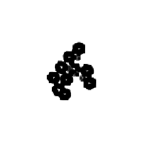 c1ccc(-c2cc(-c3c(-c4ccccc4)ccc4ccccc34)ccc2-c2nc(-c3cccc4c3oc3ccccc34)cc(-c3cccc4c3oc3ccccc34)n2)cc1